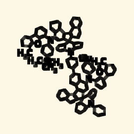 Cc1cccc2c1oc1c(N(c3ccc([Si](C)(C)C)cc3)c3cc4c(c5ccccc35)-c3c(ccc5ccccc35)C43c4ccccc4N(c4ccc(-c5ccc6c7c(cc(N(c8ccc(C(C)(C)C)cc8)c8cccc9c8oc8c(C)cccc89)c6c5)C5(c6ccccc6N(c6ccccc6)c6ccccc65)c5ccc6ccccc6c5-7)cc4)c4ccccc43)cccc12